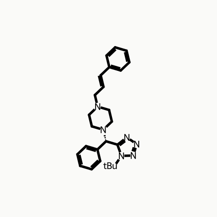 CC(C)(C)n1nnnc1[C@H](c1ccccc1)N1CCN(C/C=C/c2ccccc2)CC1